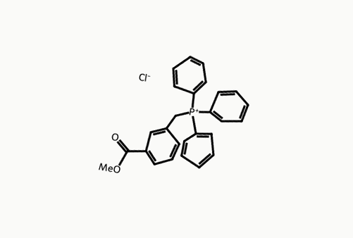 COC(=O)c1cccc(C[P+](c2ccccc2)(c2ccccc2)c2ccccc2)c1.[Cl-]